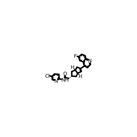 O=C(C[C@@H]1C[C@@H]2CC(c3ccnc4ccc(F)cc34)=C[C@@H]2C1)Nc1ccc(Cl)cn1